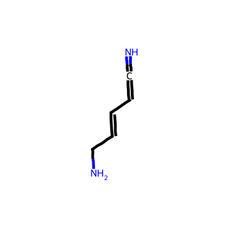 N=C=CC=CCN